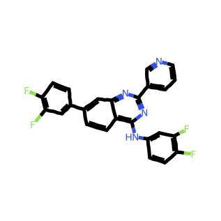 Fc1ccc(Nc2nc(-c3cccnc3)nc3cc(-c4ccc(F)c(F)c4)ccc23)cc1F